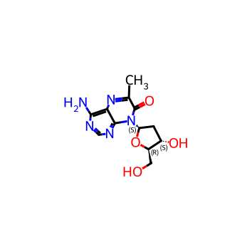 Cc1nc2c(N)ncnc2n([C@@H]2C[C@H](O)[C@@H](CO)O2)c1=O